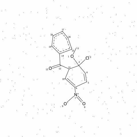 COC1(Cl)C=CC([N+](=O)[O-])=CC1C(=O)c1ccccc1